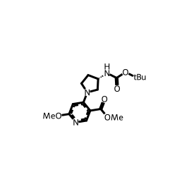 COC(=O)c1cnc(OC)cc1N1CC[C@H](NC(=O)OC(C)(C)C)C1